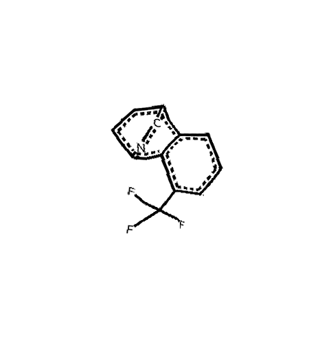 FC(F)(F)c1[c]ccc2c3ccc(nc3)c12